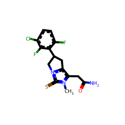 Cn1c(CC(N)=O)c2n(c1=S)CC(c1c(F)ccc(Cl)c1F)C2